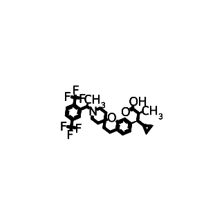 C[C@H](C(=O)O)[C@H](c1ccc2c(c1)OC1(CC2)CCN([C@H](C)c2cc(C(F)(F)F)ccc2C(F)(F)F)CC1)C1CC1